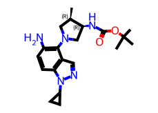 C[C@@H]1CN(c2c(N)ccc3c2cnn3C2CC2)C[C@@H]1NC(=O)OC(C)(C)C